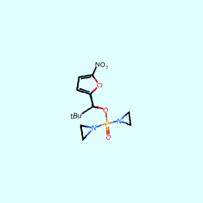 CC(C)(C)C(OP(=O)(N1CC1)N1CC1)c1ccc([N+](=O)[O-])o1